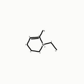 CCN1CCCC=C1C